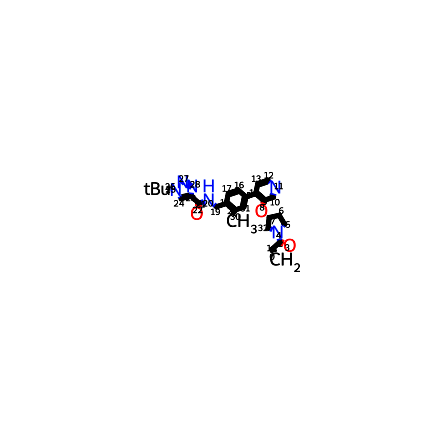 C=CC(=O)N1CC[C@@H](Oc2cnccc2-c2ccc(CNC(=O)c3cn(C(C)(C)C)nn3)c(C)c2)C1